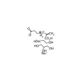 C=C(C)C(=O)O.CCCC(=O)[O-].CCCCCCCCCCCCO.OCC(O)CO.[Na+]